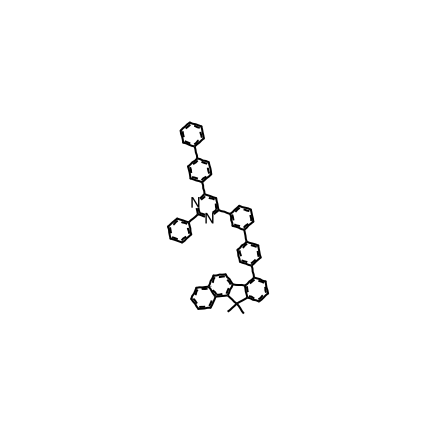 CC1(C)c2cccc(-c3ccc(-c4cccc(-c5cc(-c6ccc(-c7ccccc7)cc6)nc(-c6ccccc6)n5)c4)cc3)c2-c2ccc3ccccc3c21